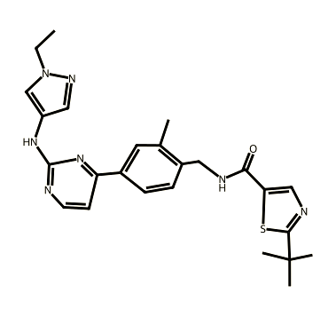 CCn1cc(Nc2nccc(-c3ccc(CNC(=O)c4cnc(C(C)(C)C)s4)c(C)c3)n2)cn1